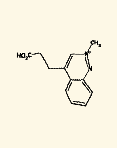 C[n+]1cc(CCC(=O)O)c2ccccc2n1